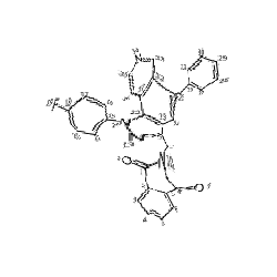 O=C1c2ccccc2C(=O)N1Cc1nn(-c2ccc(F)cc2)c2c1cc(-c1ccccc1)c1cnccc12